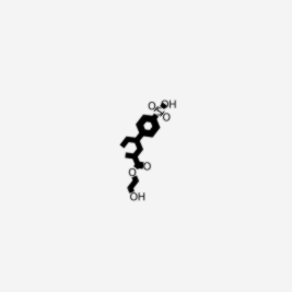 CCC(CC(C)C(=O)OCCO)c1ccc(S(=O)(=O)O)cc1